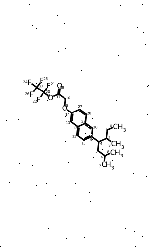 CCC(C)C(CC(C)C)c1ccc2cc(OCC(=O)OC(F)(F)C(F)(F)F)ccc2c1